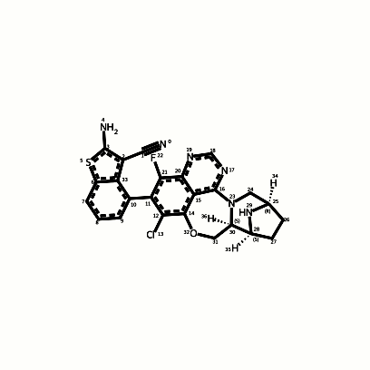 N#Cc1c(N)sc2cccc(-c3c(Cl)c4c5c(ncnc5c3F)N3C[C@H]5CC[C@H](N5)[C@H]3CO4)c12